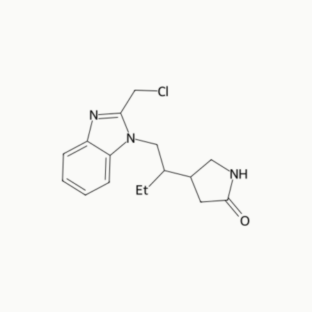 CCC(Cn1c(CCl)nc2ccccc21)C1CNC(=O)C1